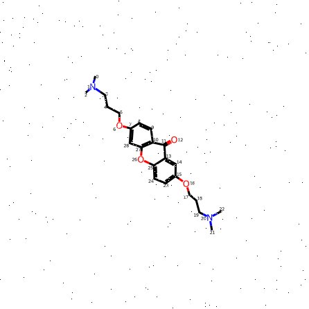 CN(C)CCCOc1ccc2c(=O)c3cc(OCCCN(C)C)ccc3oc2c1